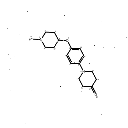 CC(C)N1CCC(Oc2ccc(N3CCC(=O)CC3)cc2)CC1